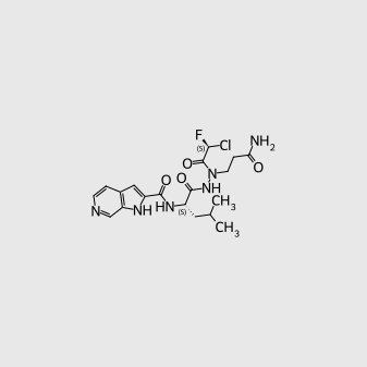 CC(C)C[C@H](NC(=O)c1cc2ccncc2[nH]1)C(=O)NN(CCC(N)=O)C(=O)[C@@H](F)Cl